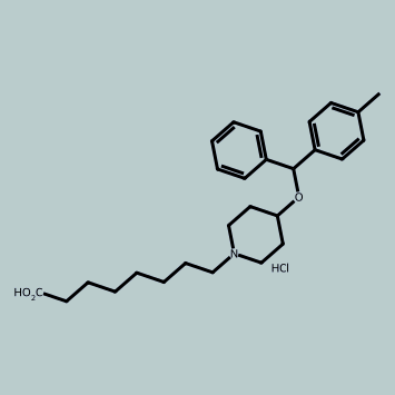 Cc1ccc(C(OC2CCN(CCCCCCCC(=O)O)CC2)c2ccccc2)cc1.Cl